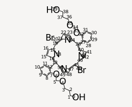 OCCCOCOc1ccccc1C1=C2C=CC(=N2)C(Br)=C2C=CC(=N2)C(c2ccccc2OCOCCCO)=C2C=CC(=N2)C(Br)=C2C=CC1=N2